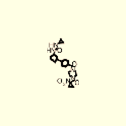 O=C(Nc1cccc(-c2ccc(C(=O)N3CCN(C(=O)C4([N+](=O)[O-])CC4)CC3)cc2)c1)NC1CC1